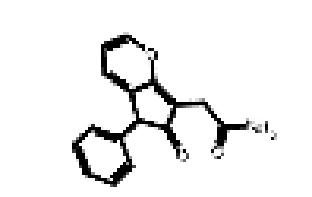 NC(=O)CC1=C2OC=CC=C2C(c2ccccc2)C1=O